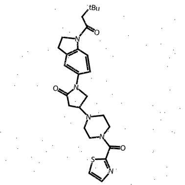 CC(C)(C)CC(=O)N1CCc2cc(N3CC(N4CCN(C(=O)c5nccs5)CC4)CC3=O)ccc21